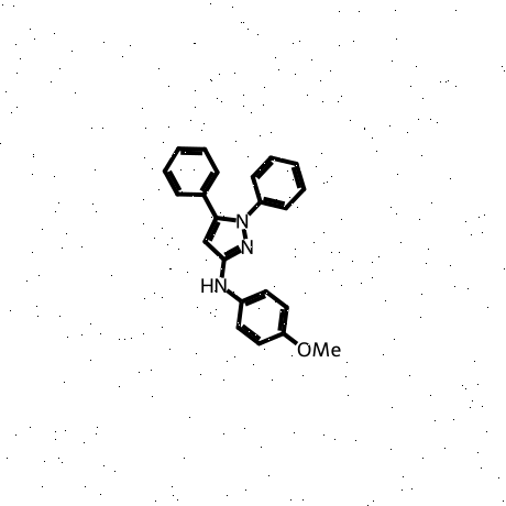 COc1ccc(Nc2cc(-c3ccccc3)n(-c3ccccc3)n2)cc1